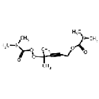 CN(C)C(=O)OCC#CC(C)(C)OOC(=O)N(C)C